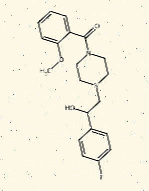 COc1ccccc1C(=O)N1CCN(CC(O)c2ccc(F)cc2)CC1